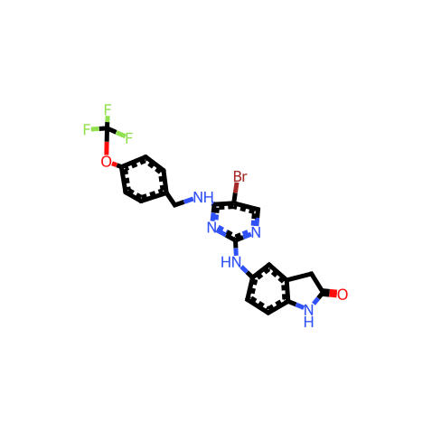 O=C1Cc2cc(Nc3ncc(Br)c(NCc4ccc(OC(F)(F)F)cc4)n3)ccc2N1